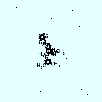 Cc1cc(C)cc(OCC(C)(O)c2cnc(C)nc2C2CCN(C(=O)Cc3c(F)cccc3F)CC2)c1